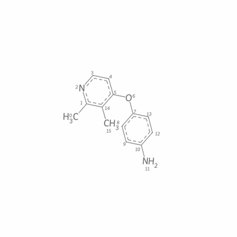 Cc1nccc(Oc2ccc(N)cc2)c1C